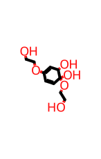 OCCOC1=CC(O)C(O)(OCCO)C=C1